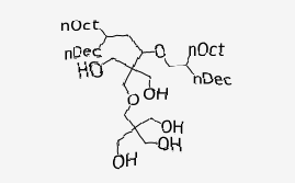 CCCCCCCCCCC(CCCCCCCC)COC(CC(CCCCCCCC)CCCCCCCCCC)C(CO)(CO)COCC(CO)(CO)CO